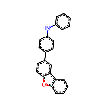 c1ccc(Nc2ccc(-c3ccc4oc5ccccc5c4c3)cc2)cc1